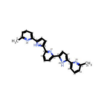 Cc1cccc(-c2ccc(-c3cccc(-c4ccc(-c5cccc(C)n5)[nH]4)n3)[nH]2)n1